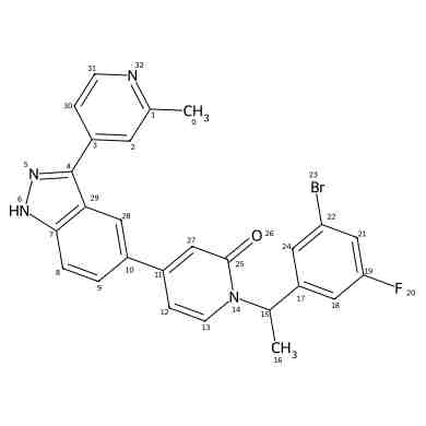 Cc1cc(-c2n[nH]c3ccc(-c4ccn(C(C)c5cc(F)cc(Br)c5)c(=O)c4)cc23)ccn1